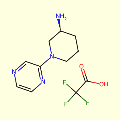 N[C@H]1CCCN(c2cnccn2)C1.O=C(O)C(F)(F)F